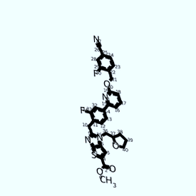 COC(=O)c1cc2c(nc(Cc3ccc(-c4cccc(OCc5ccc(C#N)cc5F)n4)cc3F)n2CC2CCCO2)s1